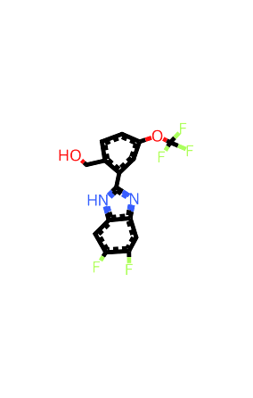 OCc1ccc(OC(F)(F)F)cc1-c1nc2cc(F)c(F)cc2[nH]1